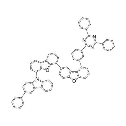 c1ccc(-c2ccc3c(c2)c2ccccc2n3-c2cccc3c2oc2c(-c4ccc5oc6cccc(-c7cccc(-c8nc(-c9ccccc9)nc(-c9ccccc9)n8)c7)c6c5c4)cccc23)cc1